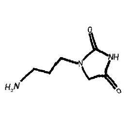 NCCCN1CC(=O)NC1=O